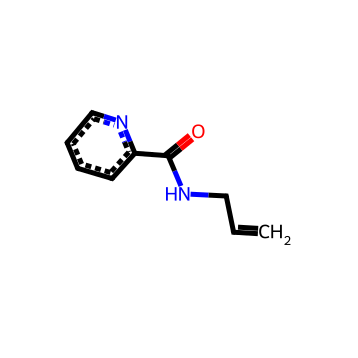 C=CCNC(=O)c1ccccn1